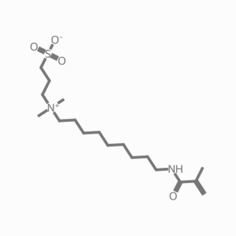 C=C(C)C(=O)NCCCCCCCCC[N+](C)(C)CCCS(=O)(=O)[O-]